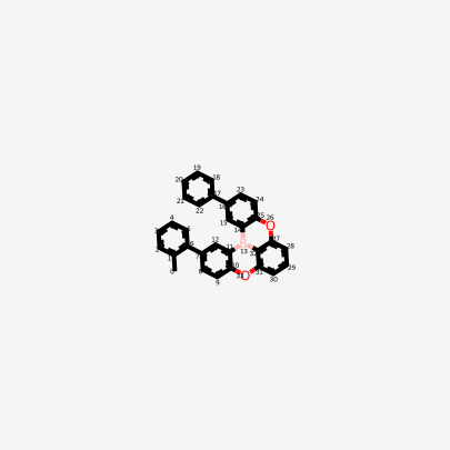 Cc1ccccc1-c1ccc2c(c1)B1c3cc(-c4ccccc4)ccc3Oc3cccc(c31)O2